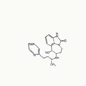 CC(CCc1ccccn1)NC1CCn2c(=O)[nH]c3cccc(c32)C1O